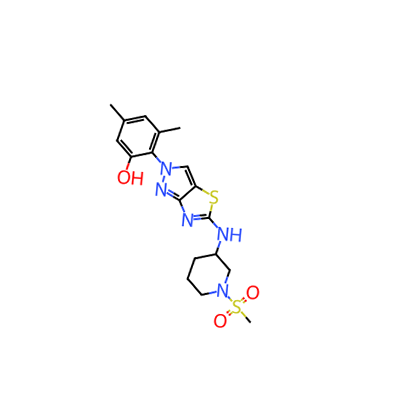 Cc1cc(C)c(-n2cc3sc(NC4CCCN(S(C)(=O)=O)C4)nc3n2)c(O)c1